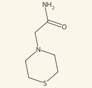 NC(=O)CN1CCSCC1